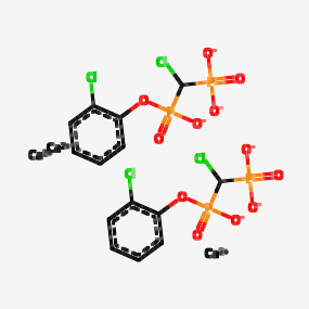 O=P([O-])([O-])C(Cl)P(=O)([O-])Oc1ccccc1Cl.O=P([O-])([O-])C(Cl)P(=O)([O-])Oc1ccccc1Cl.[Ca+2].[Ca+2].[Ca+2]